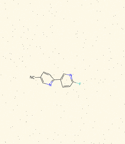 N#Cc1ccc(-c2ccc(F)nc2)nc1